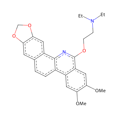 CCN(CC)CCOc1nc2c3cc4c(cc3ccc2c2cc(OC)c(OC)cc12)OCO4